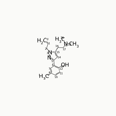 C=CCn1nc(-c2cc(C)ccc2O)cc1CCN(C)C